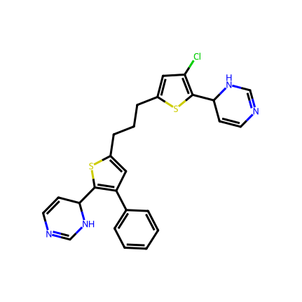 Clc1cc(CCCc2cc(-c3ccccc3)c(C3C=CN=CN3)s2)sc1C1C=CN=CN1